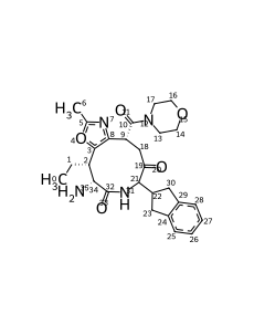 CC[C@@H]1c2oc(C)nc2[C@H](C(=O)N2CCOCC2)CC(=O)C(C2Cc3ccccc3C2)NC(=O)[C@@H]1N